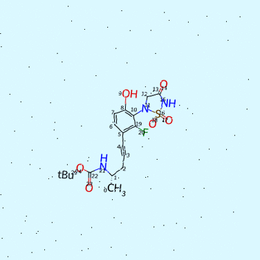 C[C@@H](CC#Cc1ccc(O)c(N2CC(=O)NS2(=O)=O)c1F)NC(=O)OC(C)(C)C